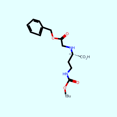 CC(C)(C)OC(=O)NCC[C@H](NCC(=O)OCc1ccccc1)C(=O)O